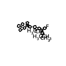 CC(C)(C)c1ccc(N(c2ccc(F)cc2)c2ccc3c(c2)C(C)(C)c2cc(-c4ccc5c(c4)c4ccccc4n5-c4ccc5c(c4)C(c4ccccc4)(c4ccccc4)c4ccccc4-5)ccc2-3)cc1